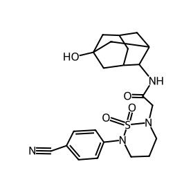 N#Cc1ccc(N2CCCN(CC(=O)NC3C4CC5CC3CC(O)(C5)C4)S2(=O)=O)cc1